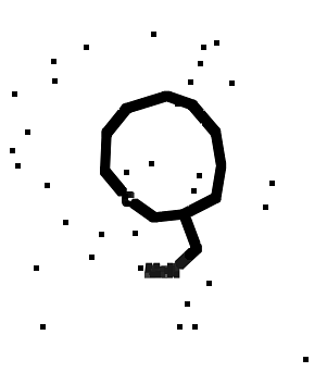 CNCC1CCCCCCCCCC1